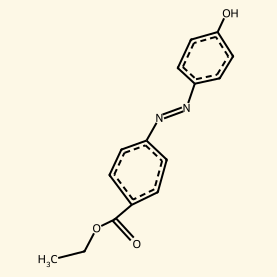 CCOC(=O)c1ccc(/N=N/c2ccc(O)cc2)cc1